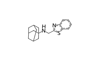 c1ccc2sc(CNC34CC5CC(CC(C5)C3)C4)nc2c1